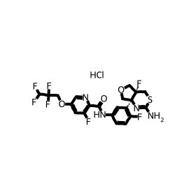 Cl.NC1=N[C@@]2(c3cc(NC(=O)c4ncc(OCC(F)(F)C(F)F)cc4F)ccc3F)COC[C@@]2(F)CS1